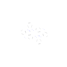 c1ccc2c(c1)nc1c3c4c(ccc3n3c5ccccc5nc3c3c5c(ccc3n21)[nH]c1ccccc15)[nH]c1ccccc14